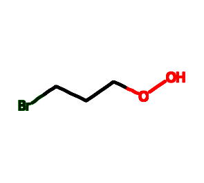 OOCCCBr